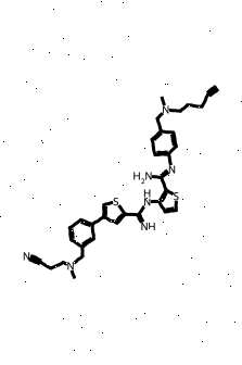 C#CCCCN(C)Cc1ccc(N=C(N)c2sccc2NC(=N)c2cc(-c3cccc(CN(C)CCC#N)c3)cs2)cc1